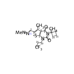 CN/N=C/c1sc2c(c1C)c(=O)n(C1(C)CCC1)c(=O)n2CCC(F)(F)F